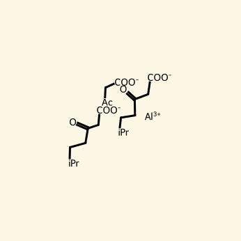 CC(=O)CC(=O)[O-].CC(C)CCC(=O)CC(=O)[O-].CC(C)CCC(=O)CC(=O)[O-].[Al+3]